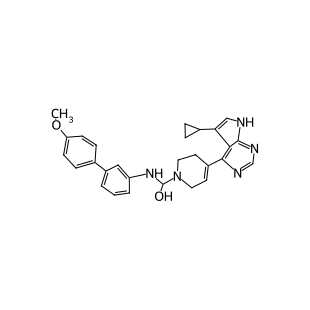 COc1ccc(-c2cccc(NC(O)N3CC=C(c4ncnc5[nH]cc(C6CC6)c45)CC3)c2)cc1